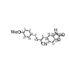 COc1ccc(CS/C(C#N)=C/c2ccc3oc(=O)[nH]c3c2)cc1